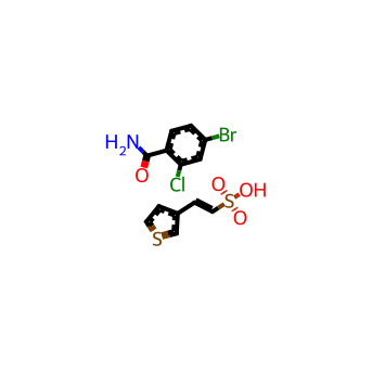 NC(=O)c1ccc(Br)cc1Cl.O=S(=O)(O)/C=C/c1ccsc1